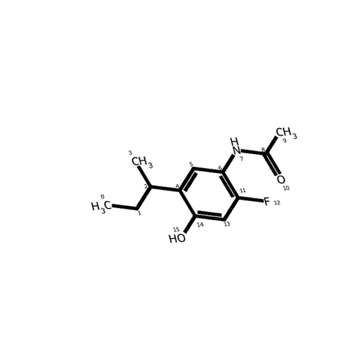 CCC(C)c1cc(NC(C)=O)c(F)cc1O